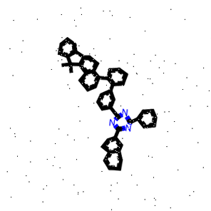 CC1(C)c2ccccc2-c2ccc3c(-c4ccccc4-c4cccc(-c5nc(-c6ccccc6)nc(-c6ccc7ccccc7c6)n5)c4)cccc3c21